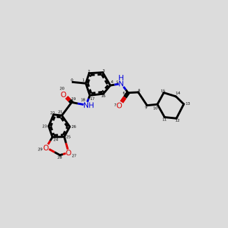 Cc1ccc(NC(=O)CCC2CCCCC2)cc1NC(=O)c1ccc2c(c1)OCO2